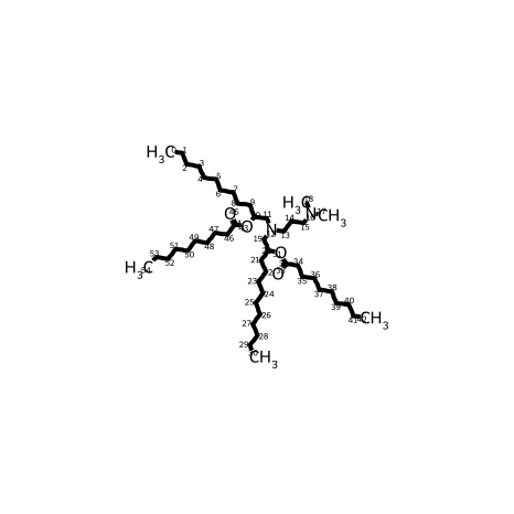 CCCCCCCCCCC(CN(CCCN(C)C)CC(CCCCCCCCCC)OC(=O)CCCCCCCCC)OC(=O)CCCCCCCCC